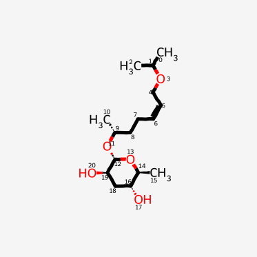 CC(C)OC/C=C\CC[C@@H](C)O[C@@H]1O[C@@H](C)[C@H](O)C[C@H]1O